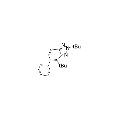 CC(C)(C)c1c(-c2ccccc2)ccc2nn(C(C)(C)C)nc12